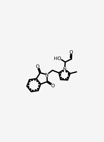 Cc1ccc(CN2C(=O)c3ccccc3C2=O)n1C(O)C=O